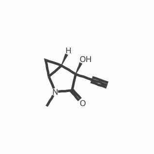 C#C[C@]1(O)C(=O)N(C)C2C[C@@H]21